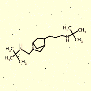 CC(C)(C)NCCCC1CC2CC1CC2CNC(C)(C)C